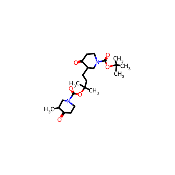 CC1CN(C(=O)OC(C)(C)CCC2CN(C(=O)OC(C)(C)C)CCC2=O)CCC1=O